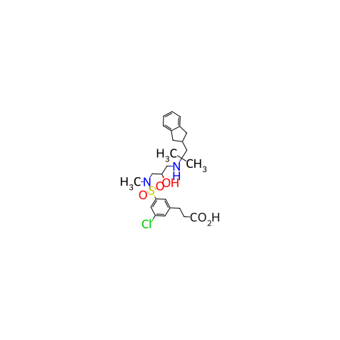 CN(C[C@H](O)CNC(C)(C)CC1Cc2ccccc2C1)S(=O)(=O)c1cc(Cl)cc(CCC(=O)O)c1